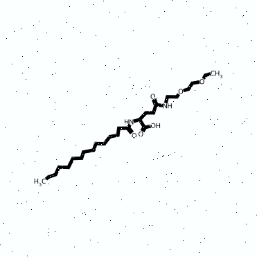 CCCCCCCCCCCCCCC(=O)NC(CCC(=O)NCCOCCOCC)C(=O)O